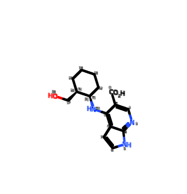 O=C(O)c1cnc2[nH]ccc2c1N[C@@H]1CCCC[C@@H]1CO